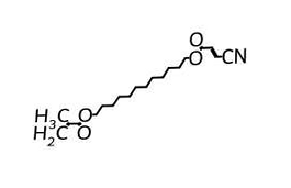 C=C(C)C(=O)OCCCCCCCCCCCCOC(=O)C=CC#N